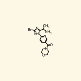 CC(N)c1nc(Br)nn1-c1ccc(C(=O)N2CCOCC2)cn1